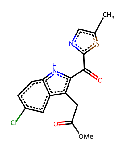 COC(=O)Cc1c(C(=O)c2ncc(C)s2)[nH]c2ccc(Cl)cc12